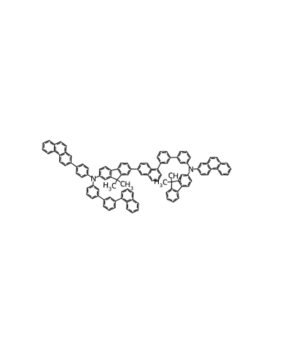 CC1(C)c2ccccc2-c2ccc(N(c3cccc(-c4cccc(-c5cccc6cc(-c7ccc8c(c7)C(C)(C)c7cc(N(c9ccc(-c%10ccc%11c(ccc%12ccccc%12%11)c%10)cc9)c9cccc(-c%10cccc(-c%11cccc%12ccccc%11%12)c%10)c9)ccc7-8)ccc56)c4)c3)c3ccc4c(ccc5ccccc54)c3)cc21